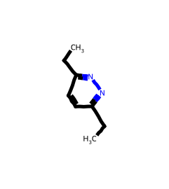 CCc1ccc(CC)nn1